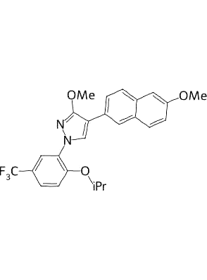 COc1ccc2cc(-c3cn(-c4cc(C(F)(F)F)ccc4OC(C)C)nc3OC)ccc2c1